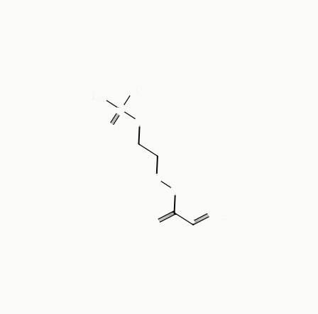 C=CC(=O)OOCCOP(C)(=O)O